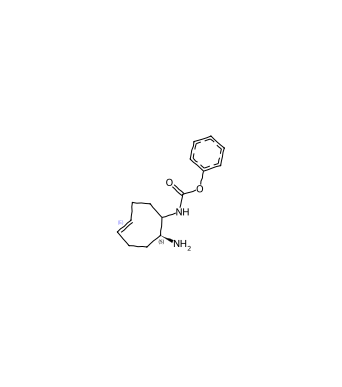 N[C@H]1CC/C=C/CCC1NC(=O)Oc1ccccc1